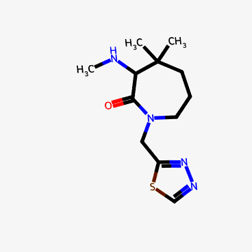 CNC1C(=O)N(Cc2nncs2)CCCC1(C)C